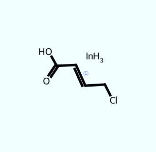 O=C(O)/C=C/CCl.[InH3]